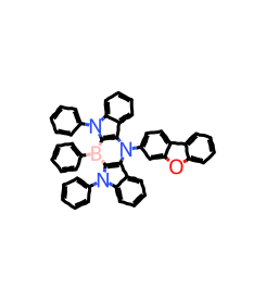 c1ccc(B2c3c(c4ccccc4n3-c3ccccc3)N(c3ccc4c(c3)oc3ccccc34)c3c2n(-c2ccccc2)c2ccccc32)cc1